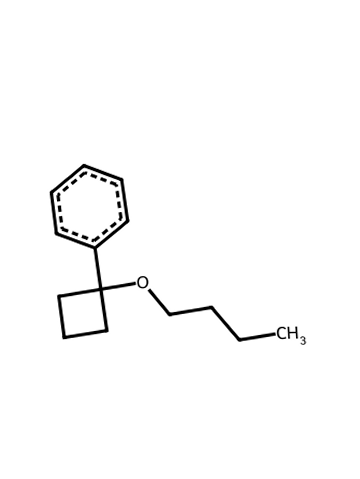 CCCCOC1(c2ccccc2)CCC1